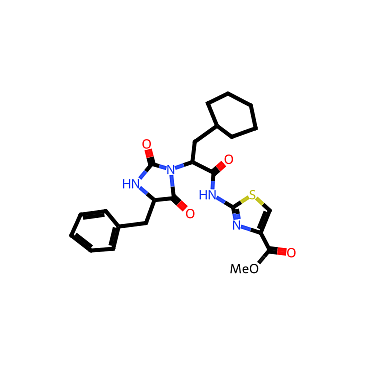 COC(=O)c1csc(NC(=O)C(CC2CCCCC2)N2C(=O)NC(Cc3ccccc3)C2=O)n1